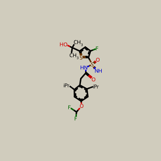 CC(C)c1cc(OC(F)F)cc(C(C)C)c1CC(=O)NS(=N)(=O)c1sc(C(C)(C)O)cc1F